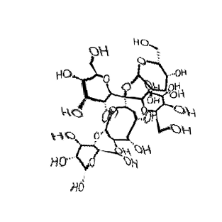 OC[C@H]1OC(OC(C2O[C@H](CO)[C@H](O)[C@H](O)[C@H]2O)(C2O[C@H](CO)[C@H](O)[C@H](O)[C@H]2O)[C@H]2O[C@@H](O[C@H]3[C@H](O)[C@@H](O)[C@@H](O)O[C@@H]3CO)[C@H](O)[C@@H](O)[C@H]2O)[C@H](O)[C@@H](O)[C@H]1O